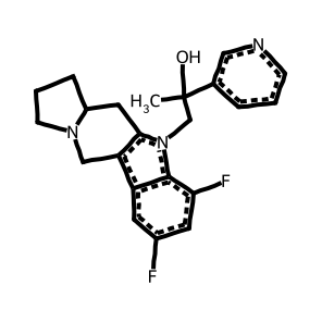 CC(O)(Cn1c2c(c3cc(F)cc(F)c31)CN1CCCC1C2)c1cccnc1